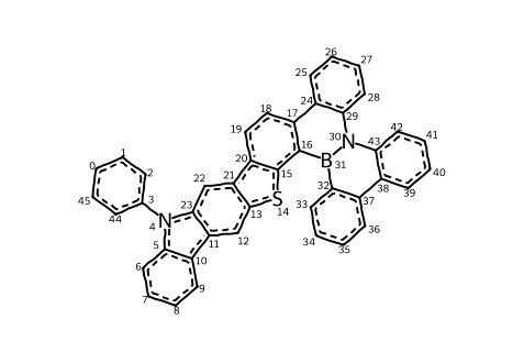 c1ccc(-n2c3ccccc3c3cc4sc5c6c(ccc5c4cc32)-c2ccccc2N2B6c3ccccc3-c3ccccc32)cc1